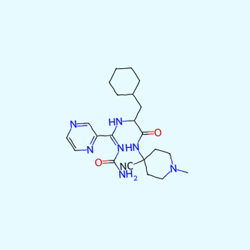 CN1CCC(C#N)(NC(=O)C(CC2CCCCC2)N/C(=N/C(N)=O)c2cnccn2)CC1